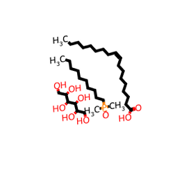 CCCCCCCC/C=C\CCCCCCCC(=O)O.CCCCCCCCCCP(C)(C)=O.OCC(O)C(O)C(O)C(O)CO